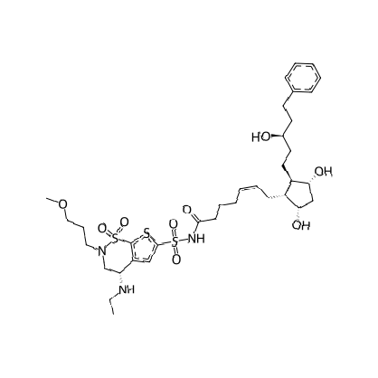 CCN[C@@H]1CN(CCCOC)S(=O)(=O)c2sc(S(=O)(=O)NC(=O)CCC/C=C\C[C@@H]3[C@@H](CC[C@@H](O)CCc4ccccc4)[C@H](O)C[C@@H]3O)cc21